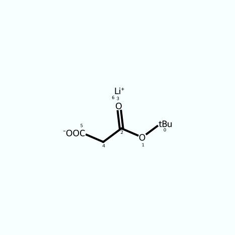 CC(C)(C)OC(=O)CC(=O)[O-].[Li+]